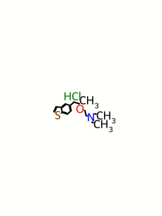 CCN(CC)CCOC(C)Cc1ccc2sccc2c1.Cl